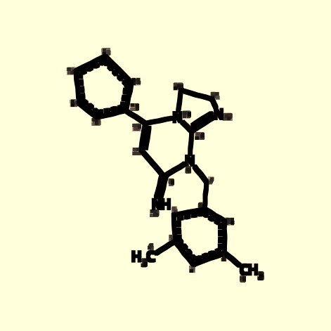 Cc1cc(C)cc(CN2C(=N)C=C(c3ccccc3)N3CCN=C23)c1